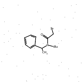 CC(c1ccccc1)N(C(=O)CBr)C(C)(C)C